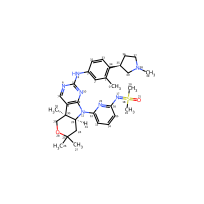 Cc1cc(Nc2ncc3c(n2)N(c2cccc(N=S(C)(C)=O)n2)[C@H]2CC(C)(C)OC[C@@]32C)ccc1[C@H]1CCN(C)C1